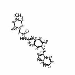 CN1CCC(CC(=O)Nc2nc3cc(F)c(Sc4cnc5ncccn45)cc3s2)C(F)C1